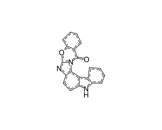 O=c1c2ccccc2oc2nc3ccc4[nH]c5ccccc5c4c3n12